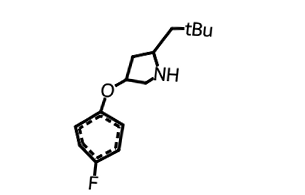 CC(C)(C)CC1CC(Oc2ccc(F)cc2)CN1